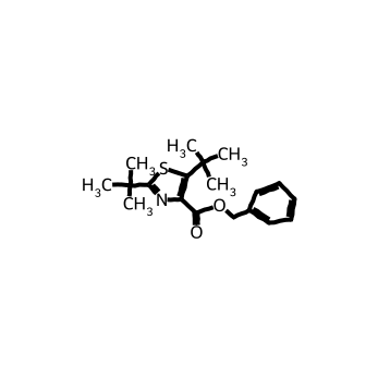 CC(C)(C)c1nc(C(=O)OCc2ccccc2)c(C(C)(C)C)s1